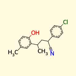 Cc1ccc(O)c(C(C)CC(C#N)c2ccc(Cl)cc2)c1